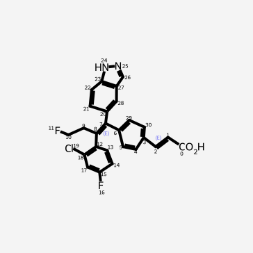 O=C(O)/C=C/c1ccc(/C(=C(/CCF)c2ccc(F)cc2Cl)c2ccc3[nH]ncc3c2)cc1